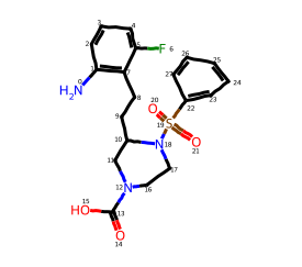 Nc1cccc(F)c1CCC1CN(C(=O)O)CCN1S(=O)(=O)c1ccccc1